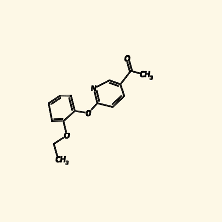 CCOc1ccccc1Oc1ccc(C(C)=O)cn1